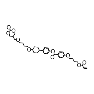 C=CC(=O)OCCCCOc1ccc(C(=O)Oc2ccc(C3CCC(OCCCCOCC4COC(=O)OC4)CC3)cc2)cc1